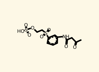 CC(=O)CC(=O)Nc1cccc(S(=O)(=O)CCOS(=O)(=O)O)c1